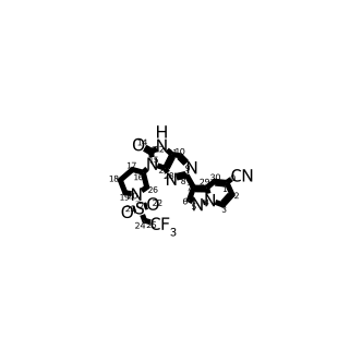 N#Cc1ccn2ncc(-c3ncc4[nH]c(=O)n(C5CCCN(S(=O)(=O)CC(F)(F)F)C5)c4n3)c2c1